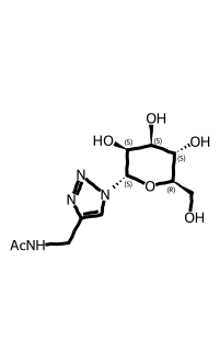 CC(=O)NCc1cn([C@H]2O[C@H](CO)[C@@H](O)[C@H](O)[C@@H]2O)nn1